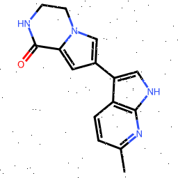 Cc1ccc2c(-c3cc4n(c3)CCNC4=O)c[nH]c2n1